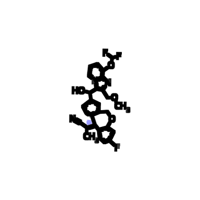 COCc1nc2c(OC(F)F)cccn2c1C(O)c1ccc2c(c1)COc1cc(F)ccc1/C2=C(\C)C#N